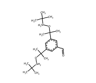 CC(C)(C)[SiH2]OC(C)(C)c1cc(C=O)cc(C(C)(C)O[SiH2]C(C)(C)C)c1